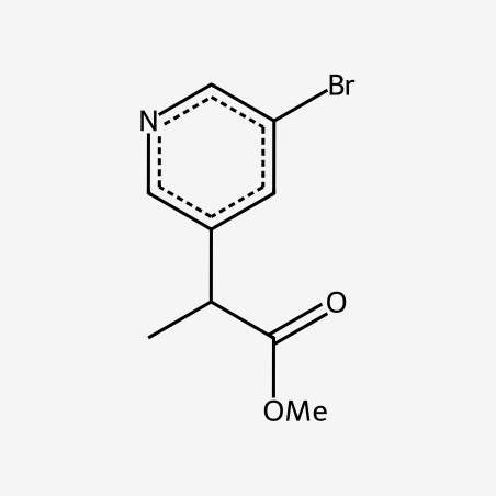 COC(=O)C(C)c1cncc(Br)c1